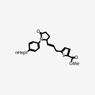 CCCCCCCc1ccc(N2C(=O)CCC2C=CCc2ccc(C(=O)OC)s2)cc1